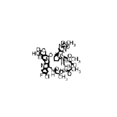 CC[C@@]1(O)C(=O)OCc2c1cc1n(c2=O)Cc2c-1nc1cc(F)c(Cl)cc1c2CNC(=O)C[C@@H](C)OCNC(=O)[C@H](C)NC(=O)[C@H](C)NC(=O)[C@H](C)NC(=O)CCCC#Cc1cnc(S(C)(=O)=O)nc1